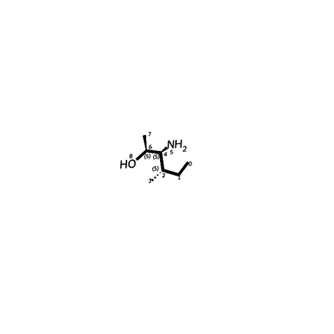 CC[C@H](C)[C@H](N)[C@H](C)O